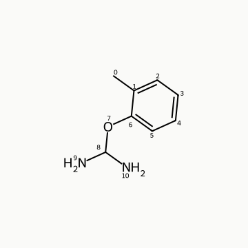 Cc1ccccc1OC(N)N